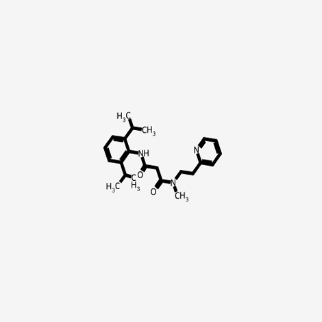 CC(C)c1cccc(C(C)C)c1NC(=O)CC(=O)N(C)CCc1ccccn1